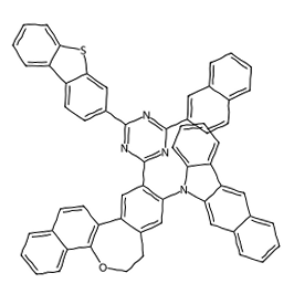 c1ccc2cc(-c3nc(-c4ccc5c(c4)sc4ccccc45)nc(-c4cc5c(cc4-n4c6ccccc6c6cc7ccccc7cc64)CCOc4c-5ccc5ccccc45)n3)ccc2c1